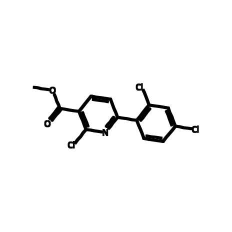 COC(=O)c1ccc(-c2ccc(Cl)cc2Cl)nc1Cl